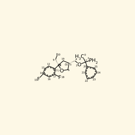 CC(P)(OC[C@@H]1CO[C@@](CI)(c2ccc(F)cc2F)C1)c1ccccc1